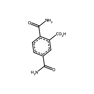 NC(=O)c1ccc(C(N)=O)c(C(=O)O)c1